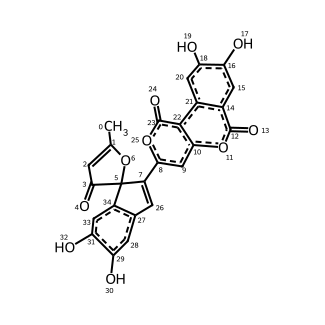 CC1=CC(=O)C2(O1)C(c1cc3oc(=O)c4cc(O)c(O)cc4c3c(=O)o1)=Cc1cc(O)c(O)cc12